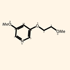 COCCOc1cncc(OC)c1